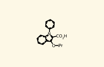 CC(C)Oc1c(C(=O)O)n(-c2ccccc2)c2ccccc12